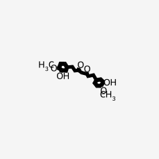 COc1ccc(CCC(=O)CC(=O)CCc2ccc(OC)c(O)c2)cc1O